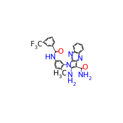 Cc1ccc(NC(=O)c2cccc(C(F)(F)F)c2)cc1-n1c(N)c(C(N)=O)c2nc3ccccc3nc21